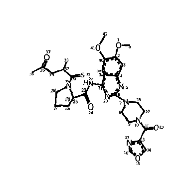 COc1cc2nc(N3CCN(C(=O)c4cocn4)CC3)nc(NC(=O)[C@H]3CCCN3C(=S)C(C)CC(C)=O)c2cc1OC